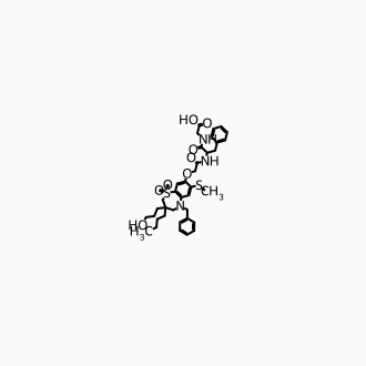 CCCCC1(CCCO)CN(Cc2ccccc2)c2cc(SC)c(OCC(=O)NC(Cc3ccccc3)C(=O)NCC(=O)O)cc2S(=O)(=O)C1